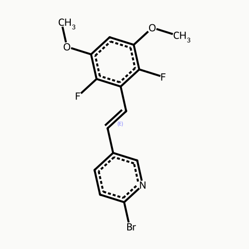 COc1cc(OC)c(F)c(/C=C/c2ccc(Br)nc2)c1F